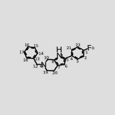 Fc1ccc(-c2cc3c([nH]2)CN(Cc2ccccc2)CC3)cc1